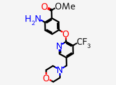 COC(=O)c1cc(Oc2ncc(CN3CCOCC3)cc2C(F)(F)F)ccc1N